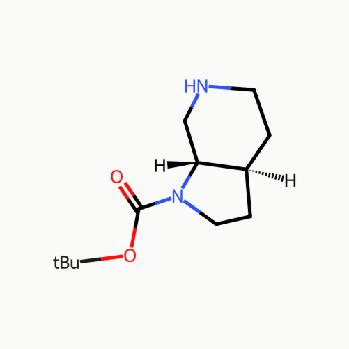 CC(C)(C)OC(=O)N1CC[C@@H]2CCNC[C@H]21